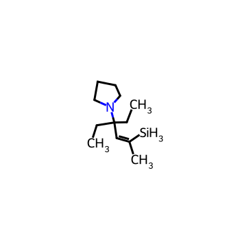 CCC(/C=C(/C)[SiH3])(CC)N1CCCC1